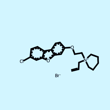 C=CC[N+]1(CCOc2ccc3c(c2)oc2cc(Cl)ccc23)CCCCC1.[Br-]